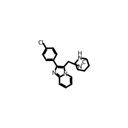 Clc1ccc(-c2nc3ccccn3c2CN2CC3CCC2CN3)cc1